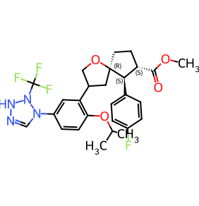 COC(=O)[C@H]1CC[C@@]2(CC(c3cc(N4C=NNN4C(F)(F)F)ccc3OC(C)C)CO2)[C@@H]1c1ccc(F)cc1